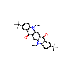 CCn1c2ccc(C(C)(C)C)cc2c(=O)c2cc3c(cc21)c(=O)c1cc(C(C)(C)C)ccc1n3CC